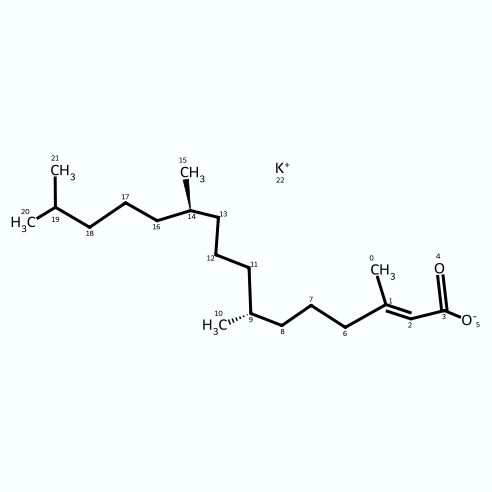 C/C(=C\C(=O)[O-])CCC[C@H](C)CCC[C@H](C)CCCC(C)C.[K+]